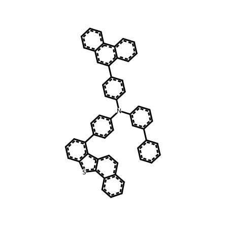 c1ccc(-c2cccc(N(c3ccc(-c4cc5ccccc5c5ccccc45)cc3)c3ccc(-c4cccc5sc6c7ccccc7ccc6c45)cc3)c2)cc1